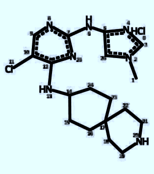 Cl.Cn1cnc(Nc2ncc(Cl)c(NC3CCC4(CCNCC4)CC3)n2)c1